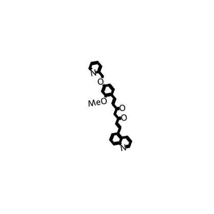 COc1cc(OCc2ccccn2)ccc1C=CC(=O)CC(=O)C=Cc1cccc2ncccc12